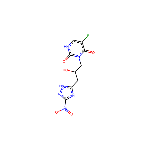 O=c1[nH]cc(F)c(=O)n1CC(O)Cc1nc([N+](=O)[O-])n[nH]1